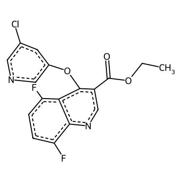 CCOC(=O)c1cnc2c(F)ccc(F)c2c1Oc1cncc(Cl)c1